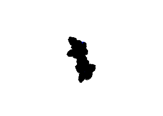 c1ccc(N(c2cccnc2)c2cc(-c3ccc4c5c(cccc35)-c3ccccc3-4)cc(N(c3ccccc3)c3ccc(-c4ccc5c(c4)-c4cccc6c(-c7cc(N(c8ccccc8)c8ccccn8)cc(N(c8ccccc8)c8ccccn8)c7)ccc-5c46)nc3)c2)cc1